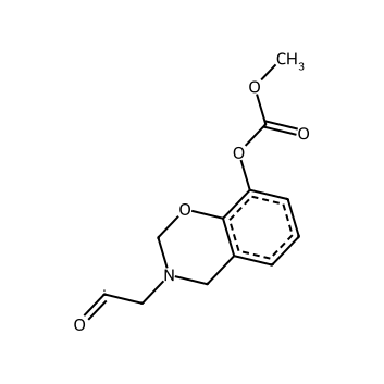 COC(=O)Oc1cccc2c1OCN(C[C]=O)C2